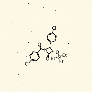 CC[Si](CC)(CC)O[C@@H]1C(=O)N(C(=O)c2ccc(Cl)cc2)[C@@H]1c1ccc(Cl)cc1